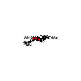 COCOc1ccc(C2(C)CSc3cc(OCOC)ccc3C2(O)C#CCOCCOCCO[Si](C)(C)C(C)(C)C)cc1